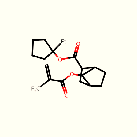 C=C(C(=O)OC1C2CCC1C(C(=O)OC1(CC)CCCC1)C2)C(F)(F)F